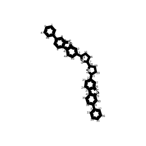 c1ccc(-c2ccc3c(c2)sc2cc(C4CCC(C5CCC(c6ccc7c(c6)sc6cc(-c8ccccc8)ccc67)S5)S4)ccc23)cc1